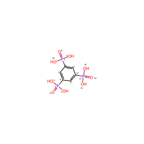 O=P(O)(O)c1cc(P(=O)(O)O)cc(P(=O)(O)O)c1